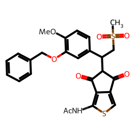 COc1ccc(C(CS(C)(=O)=O)C2C(=O)c3csc(NC(C)=O)c3C2=O)cc1OCc1ccccc1